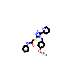 COc1ccc(Cn2c(SCC(=O)Nc3ccccc3)nnc2-c2ccccn2)cc1